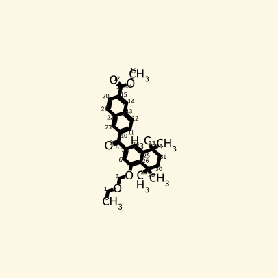 CCOCOc1cc(C(=O)c2ccc3cc(C(=O)OC)ccc3c2)cc2c1C(C)(C)CCC2(C)C